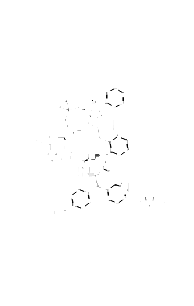 COC(=O)N[C@H](C(=O)Nc1cccc(F)c1CCC1CN(C(=O)OC(C)(C)C)CC2(CC2)CN1S(=O)(=O)c1ccccc1)[C@@H](c1ccc(Cl)cc1)c1ccc(OC)nc1